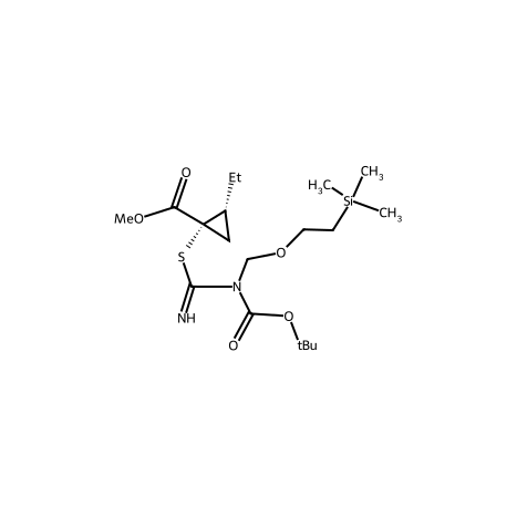 CC[C@@H]1C[C@@]1(SC(=N)N(COCC[Si](C)(C)C)C(=O)OC(C)(C)C)C(=O)OC